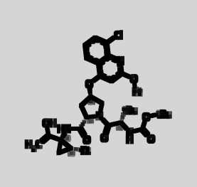 C=C(O)[C@@]1(NC(=O)[C@@H]2C[C@@H](Oc3cc(OCC)nc4c(Cl)cccc34)CN2C(=O)[C@@H](NC(=O)OC(C)(C)C)C(C)(C)C)C[C@H]1CC